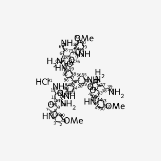 COc1ccc2[nH]c(C)c(CC(=O)C(CCCN)[C@H](N)C(=O)Nc3ccc(C(c4ccc(NC(=O)[C@@H](N)C(CCCN)C(=O)Cc5c(C)[nH]c6ccc(OC)cc56)cc4)c4ccc(NC(=O)[C@@H](N)C(CCCN)C(=O)Cc5c(C)[nH]c6ccc(OC)cc56)cc4)cc3)c2c1.Cl